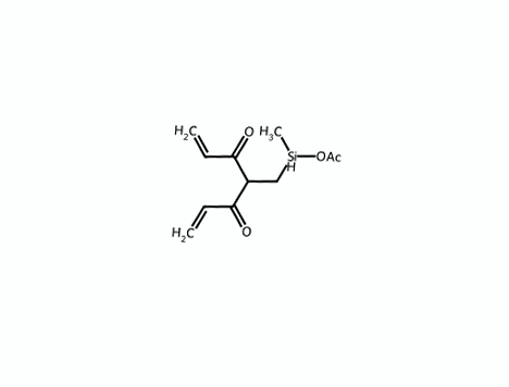 C=CC(=O)C(C[SiH](C)OC(C)=O)C(=O)C=C